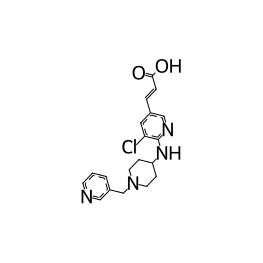 O=C(O)C=Cc1cnc(NC2CCN(Cc3cccnc3)CC2)c(Cl)c1